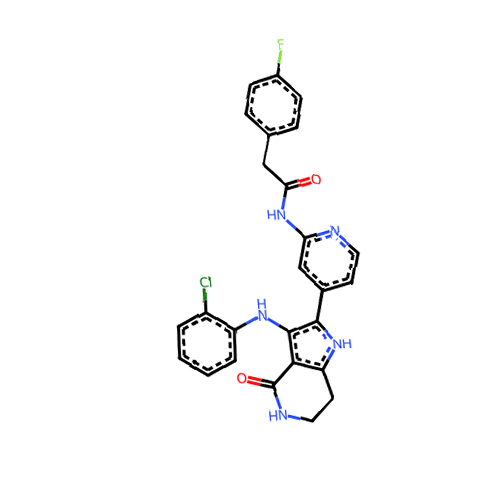 O=C(Cc1ccc(F)cc1)Nc1cc(-c2[nH]c3c(c2Nc2ccccc2Cl)C(=O)NCC3)ccn1